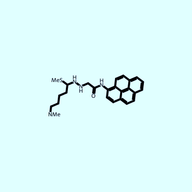 CNCCCCC(NNCC(=O)Nc1ccc2ccc3cccc4ccc1c2c34)SC